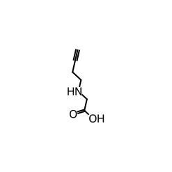 C#CCCNCC(=O)O